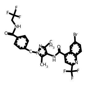 Cc1nn(Cc2ccc(C(=O)NCC(F)(F)F)cc2)c(C)c1NC(=O)c1cc(C(F)(F)F)nc2ccc(Br)cc12